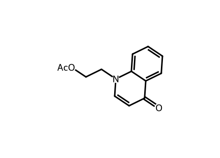 CC(=O)OCCn1ccc(=O)c2ccccc21